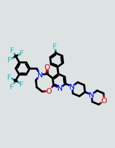 O=C1c2c(-c3ccc(F)cc3)cc(N3CCC(N4CCOCC4)CC3)nc2OCCCN1Cc1cc(C(F)(F)F)cc(C(F)(F)F)c1